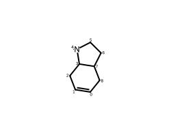 C1=CCC2[N]CCC2C1